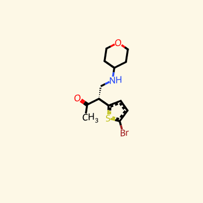 CC(=O)[C@H](CNC1CCOCC1)c1ccc(Br)s1